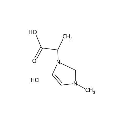 CC(C(=O)O)N1C=CN(C)C1.Cl